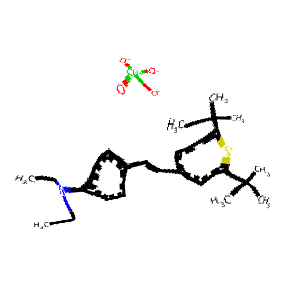 CCN(CC)c1ccc(C=Cc2cc(C(C)(C)C)[s+]c(C(C)(C)C)c2)cc1.[O-][Cl+3]([O-])([O-])[O-]